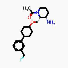 CC(=O)N1CCC[C@H](N)[C@@H]1COC1CCC(c2cccc(CF)c2)CC1